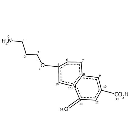 NCCCOc1ccc2cc(C(=O)O)cc(=O)n2c1